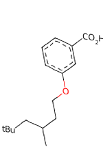 CC(CCOc1cccc(C(=O)O)c1)CC(C)(C)C